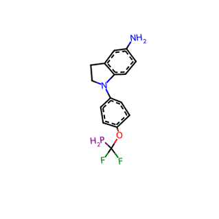 Nc1ccc2c(c1)CCN2c1ccc(OC(F)(F)P)cc1